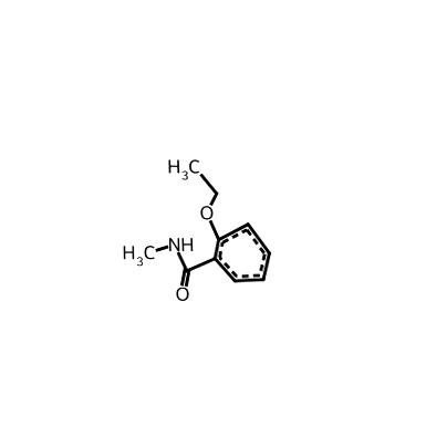 CCOc1ccccc1C(=O)NC